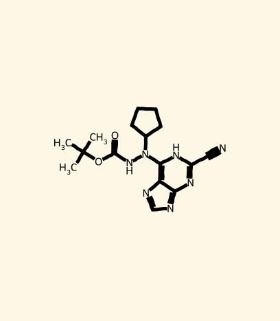 CC(C)(C)OC(=O)NN(c1[nH]c(C#N)nc2ncnc1-2)C1CCCC1